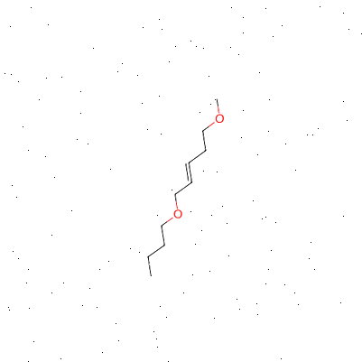 CCCCOCC=CCCOC